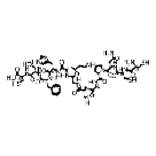 C[C@H](NC(=O)[C@@H]1CCCN1C(=O)[C@H](CC(N)=O)NC(=O)[C@H](CS)NC(=O)[C@@H](N)CS)C(=O)N[C@@H](CS)C(=O)NCC(=O)N[C@@H](CCCCN)C(=O)N[C@@H](Cc1c[nH]cn1)C(=O)N[C@@H](Cc1ccccc1)C(=O)N[C@@H](CO)C(=O)N[C@@H](CS)C(=O)O